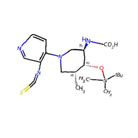 C[C@@H]1CN(c2ccncc2N=C=S)C[C@@H](NC(=O)O)[C@@H]1O[Si](C)(C)C(C)(C)C